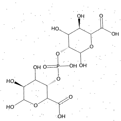 O=C(O)C1OC(O)[C@H](OP(=O)(O)O[C@@H]2C(C(=O)O)OC(O)[C@@H](O)C2O)C(O)[C@H]1O